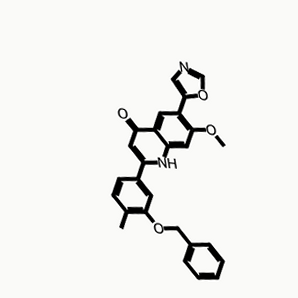 COc1cc2[nH]c(-c3ccc(C)c(OCc4ccccc4)c3)cc(=O)c2cc1-c1cnco1